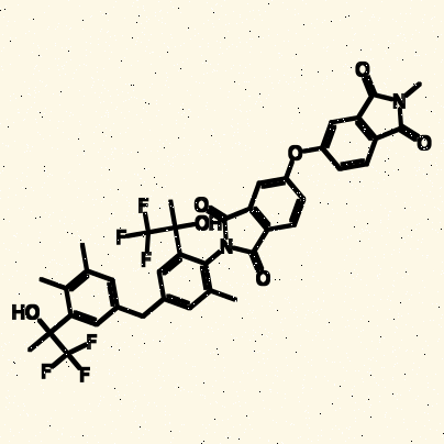 Cc1cc(Cc2cc(C)c(N3C(=O)c4ccc(Oc5ccc6c(c5)C(=O)N(C)C6=O)cc4C3=O)c(C(C)(O)C(F)(F)F)c2)cc(C(C)(O)C(F)(F)F)c1C